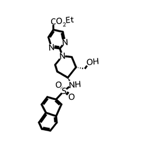 CCOC(=O)c1cnc(N2CC[C@@H](NS(=O)(=O)c3ccc4ccccc4c3)[C@@H](CO)C2)nc1